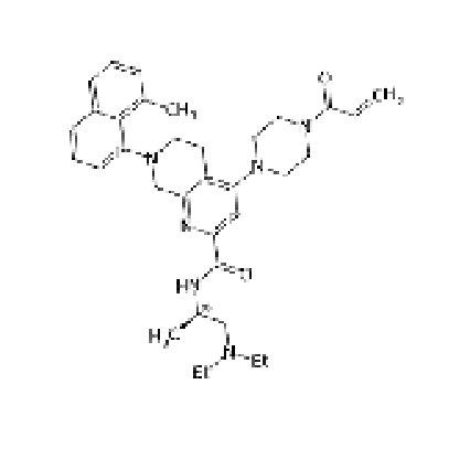 C=CC(=O)N1CCN(c2cc(C(=O)N[C@H](C)CN(CC)CC)nc3c2CCN(c2cccc4cccc(C)c24)C3)CC1